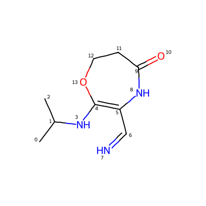 CC(C)NC1=C(C=N)NC(=O)CCO1